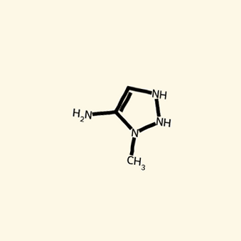 CN1NNC=C1N